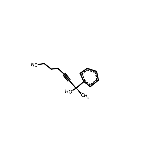 C[C@@](O)(C#CCCCC#N)c1ccccc1